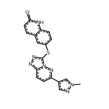 Cn1cc(-c2ccc3nnc(Sc4ccc5[nH]c(=O)ccc5c4)n3n2)cn1